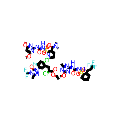 CCOC(=O)C(Cl)Cc1cc(-n2nc(C)n(C(F)F)c2=O)c(F)cc1Cl.COc1cc(OC)nc(NC(=O)NS(=O)(=O)c2ncccc2C(=O)N(C)C)n1.COc1nc(C)nc(NC(=O)NS(=O)(=O)c2ccccc2CCC(F)(F)F)n1